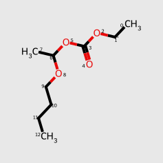 C[CH]OC(=O)OC(C)OCCCC